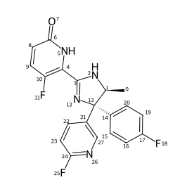 C[C@@H]1NC(c2[nH]c(=O)ccc2F)=N[C@]1(c1ccc(F)cc1)c1ccc(F)nc1